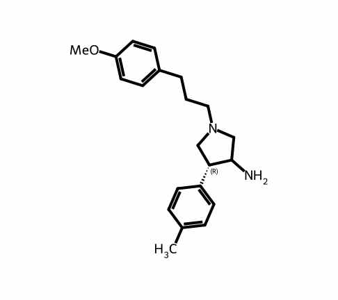 COc1ccc(CCCN2CC(N)[C@H](c3ccc(C)cc3)C2)cc1